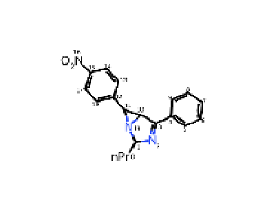 CCCC1N=C(c2ccccc2)C2C(c3ccc([N+](=O)[O-])cc3)N12